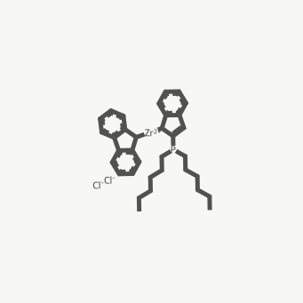 CCCCCCP(CCCCCC)C1=Cc2ccccc2[CH]1[Zr+2][CH]1c2ccccc2-c2ccccc21.[Cl-].[Cl-]